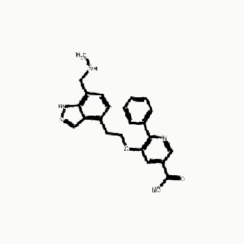 CNCc1ccc(CCOc2cc(C(=O)O)cnc2-c2ccccc2)c2cn[nH]c12